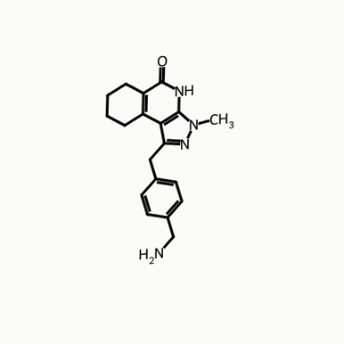 Cn1nc(Cc2ccc(CN)cc2)c2c3c(c(=O)[nH]c21)CCCC3